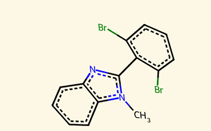 Cn1c(-c2c(Br)cccc2Br)nc2ccccc21